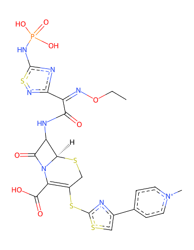 CCO/N=C(\C(=O)NC1C(=O)N2C(C(=O)O)=C(Sc3nc(-c4cc[n+](C)cc4)cs3)CS[C@H]12)c1nsc(NP(=O)(O)O)n1